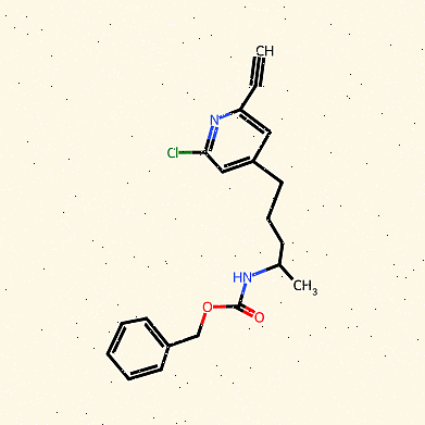 C#Cc1cc(CCCC(C)NC(=O)OCc2ccccc2)cc(Cl)n1